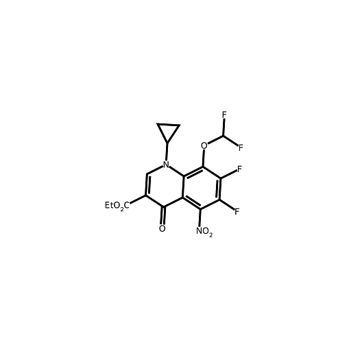 CCOC(=O)c1cn(C2CC2)c2c(OC(F)F)c(F)c(F)c([N+](=O)[O-])c2c1=O